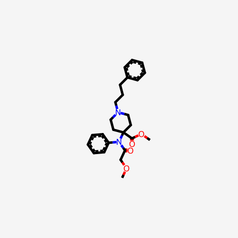 COCC(=O)N(c1ccccc1)C1(C(=O)OC)CCN(CCCc2ccccc2)CC1